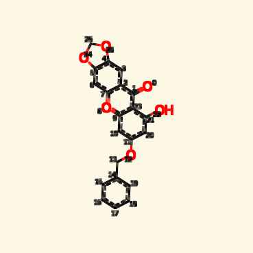 O=c1c2cc3c(cc2oc2cc(OCc4ccccc4)cc(O)c12)OCO3